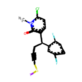 Cn1c(Cl)ccc(C(CC#CSI)c2cc(F)ccc2F)c1=O